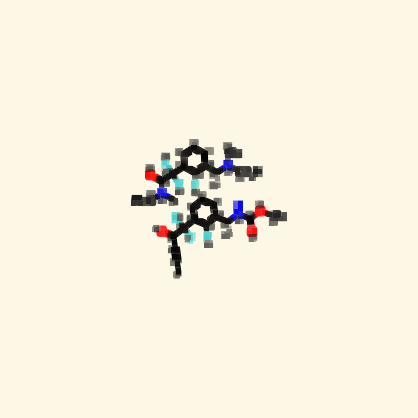 CC#CC(=O)C(F)(F)c1cccc([C@@H](C)NC(=O)OC(C)(C)C)c1F.CON(C)C(=O)C(F)(F)c1cccc([C@@H](C)N(C(=O)O)C(C)(C)C)c1F